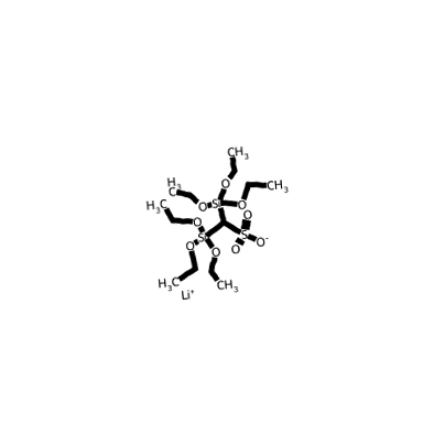 CCO[Si](OCC)(OCC)C([Si](OCC)(OCC)OCC)S(=O)(=O)[O-].[Li+]